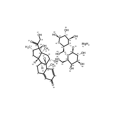 C[C@H]1C[C@H]2[C@@H]3CCC4=CC(=O)C=C[C@]4(C)[C@@]3(Cl)[C@@H](O)C[C@]2(C)[C@@]1(O)C(=O)CO.OC[C@H]1O[C@@H](O[C@H]2[C@H](O)[C@@H](O)[C@H](O)O[C@@H]2CO)[C@H](O)[C@@H](O)[C@H]1O.[MgH2]